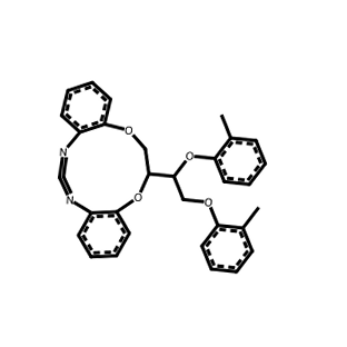 Cc1ccccc1OCC(Oc1ccccc1C)C1COc2ccccc2N=C=Nc2ccccc2O1